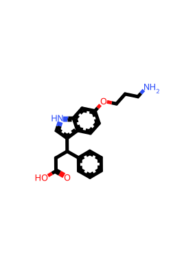 NCCCOc1ccc2c(C(CC(=O)O)c3ccccc3)c[nH]c2c1